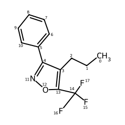 CCCc1c(-c2ccccc2)noc1C(F)(F)F